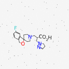 O=C(O)C(CN1CCC2(CC1)OCc1ccc(F)cc12)CN1CCC=N1